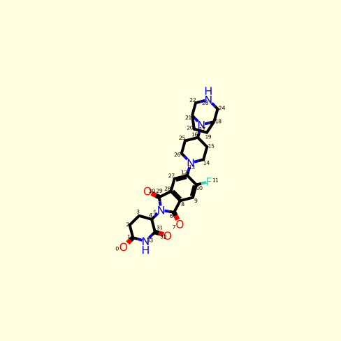 O=C1CCC(N2C(=O)c3cc(F)c(N4CCC(N5C6CCC5CNC6)CC4)cc3C2=O)C(=O)N1